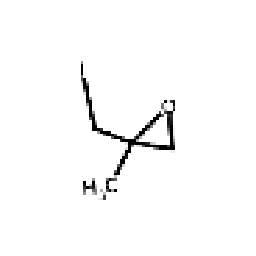 CC1(CI)CO1